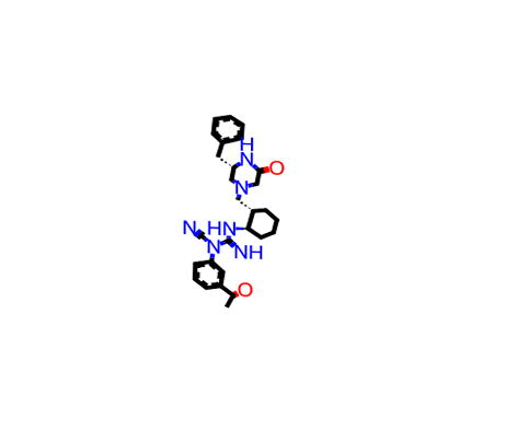 CC(=O)c1cccc(N(C#N)C(=N)N[C@@H]2CCCC[C@H]2CN2CC(=O)N[C@@H](Cc3ccccc3)C2)c1